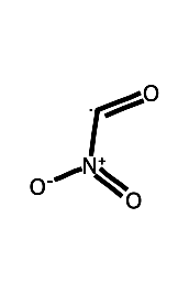 O=[C][N+](=O)[O-]